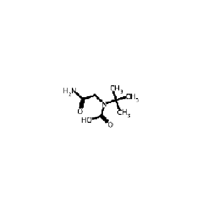 CC(C)(C)N(CC(N)=O)C(=O)O